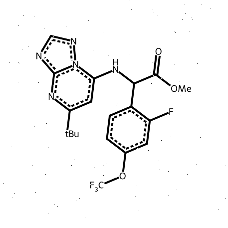 COC(=O)C(Nc1cc(C(C)(C)C)nc2ncnn12)c1ccc(OC(F)(F)F)cc1F